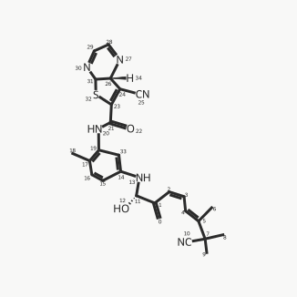 C=C(/C=C\C=C(/C)C(C)(C)C#N)[C@H](O)Nc1ccc(C)c(NC(=O)C2=C(C#N)[C@H]3N=CC=NC3S2)c1